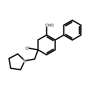 O=CC1=C(c2ccccc2)C=CC(Cl)(CN2CCCC2)C1